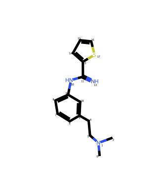 CN(C)CCc1cccc(NC(=N)c2cccs2)c1